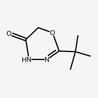 CC(C)(C)C1=NNC(=O)CO1